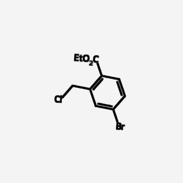 CCOC(=O)c1ccc(Br)cc1CCl